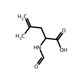 C=C(C)CC(NC=O)C(=O)O